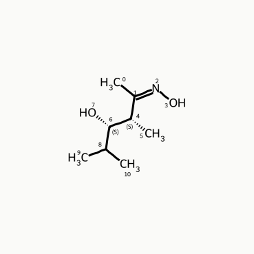 CC(=NO)[C@H](C)[C@@H](O)C(C)C